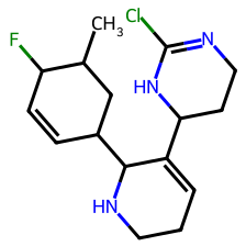 CC1CC(C2NCCC=C2C2CCN=C(Cl)N2)C=CC1F